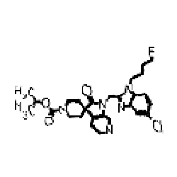 CC(C)OC(=O)N1CCC2(CC1)C(=O)N(Cc1nc3cc(Cl)ccc3n1CCCCF)c1cnccc12